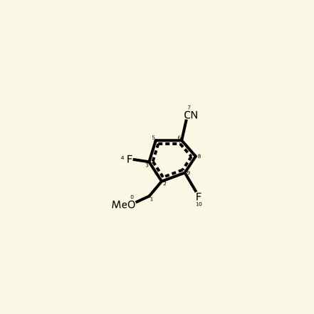 COCc1c(F)cc(C#N)cc1F